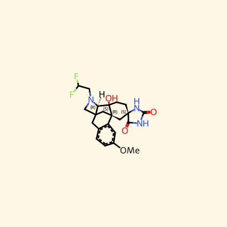 COc1ccc2c(c1)[C@]13CC4(C2)CN(CC(F)F)[C@H]4[C@]1(O)CC[C@@]1(C3)NC(=O)NC1=O